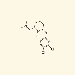 CN(C)CC1CCC/C(=C/c2ccc(Cl)c(Cl)c2)C1=O